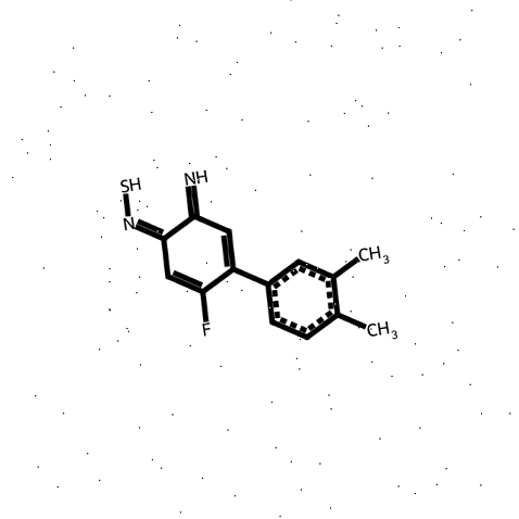 Cc1ccc(C2=CC(=N)/C(=N\S)C=C2F)cc1C